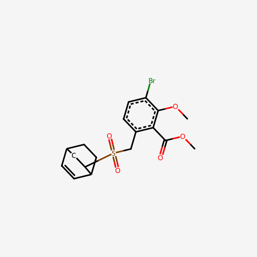 COC(=O)c1c(CS(=O)(=O)C2CC3C=CC2CC3)ccc(Br)c1OC